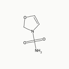 NS(=O)(=O)N1C=COC1